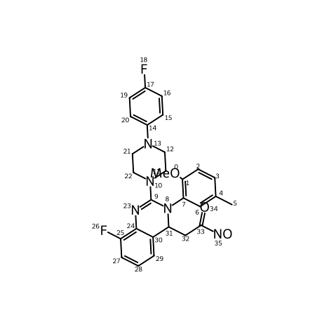 COc1ccc(C)cc1N1C(N2CCN(c3ccc(F)cc3)CC2)=Nc2c(F)cccc2C1CC(=O)N=O